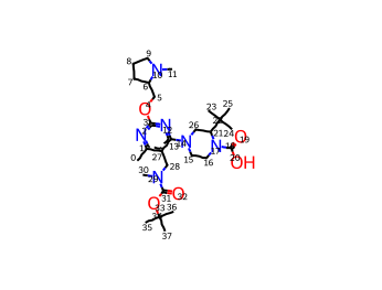 Cc1nc(OCC2CCCN2C)nc(N2CCN(C(=O)O)C(C(C)(C)C)C2)c1CN(C)C(=O)OC(C)(C)C